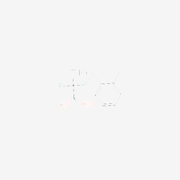 Cc1ccccc1C(=O)O.O=C(O)C(F)(F)F